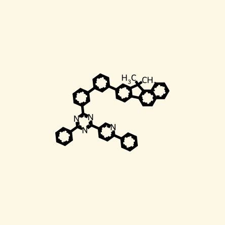 CC1(C)c2cc(-c3cccc(-c4cccc(-c5nc(-c6ccccc6)nc(-c6ccc(-c7ccccc7)nc6)n5)c4)c3)ccc2-c2ccc3ccccc3c21